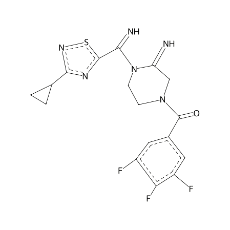 N=C1CN(C(=O)c2cc(F)c(F)c(F)c2)CCN1C(=N)c1nc(C2CC2)ns1